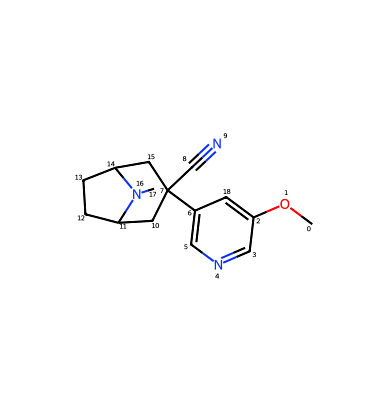 COc1cncc(C2(C#N)CC3CCC(C2)N3C)c1